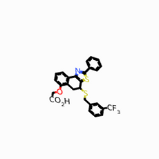 O=C(O)COc1cccc2c1CC(SCc1cccc(C(F)(F)F)c1)c1sc(-c3ccccc3)nc1-2